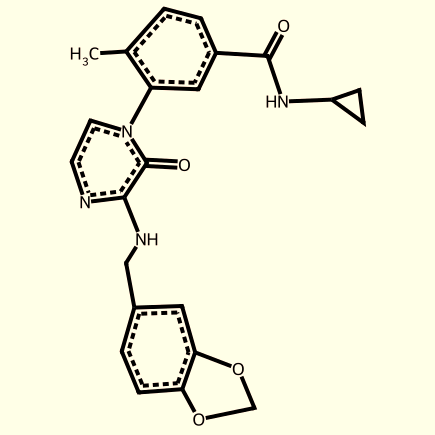 Cc1ccc(C(=O)NC2CC2)cc1-n1ccnc(NCc2ccc3c(c2)OCO3)c1=O